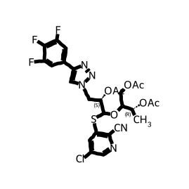 CC(=O)OCC(OC(Sc1cc(Cl)cnc1C#N)[C@H](Cn1cc(-c2cc(F)c(F)c(F)c2)nn1)OC(C)=O)[C@@H](C)OC(C)=O